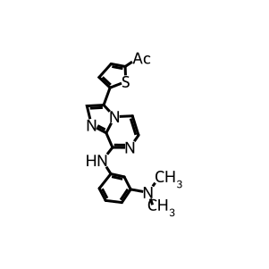 CC(=O)c1ccc(-c2cnc3c(Nc4cccc(N(C)C)c4)nccn23)s1